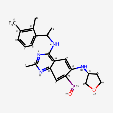 Cc1nc(NC(C)c2cccc(C(F)(F)F)c2C)c2cc(N[C@H]3CCOC3)c(P=O)cc2n1